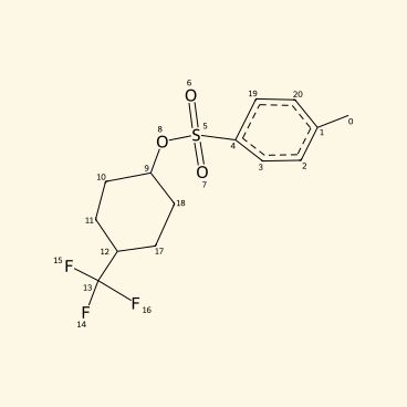 Cc1ccc(S(=O)(=O)OC2CCC(C(F)(F)F)CC2)cc1